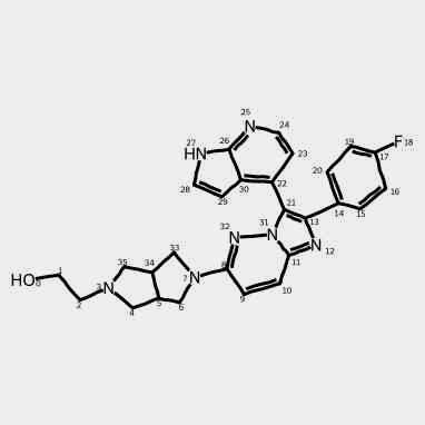 OCCN1CC2CN(c3ccc4nc(-c5ccc(F)cc5)c(-c5ccnc6[nH]ccc56)n4n3)CC2C1